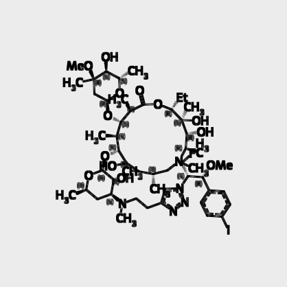 CC[C@H]1OC(=O)[C@H](C)[C@@H](O[C@H]2C[C@@](C)(OC)[C@@H](O)[C@H](C)O2)[C@H](C)[C@@H](O[C@@H]2O[C@H](C)C[C@H](N(C)CCc3cn([C@H](CF)[C@H](OC)c4ccc(I)cc4)nn3)[C@H]2O)[C@](C)(O)C[C@@H](C)CN(C)[C@H](C)[C@@H](O)[C@]1(C)O